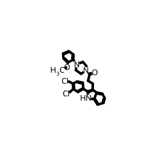 COc1ccccc1N1CCN(C(=O)CCc2c(-c3ccc(Cl)c(Cl)c3)[nH]c3ccccc23)CC1